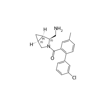 Cc1ccc(-c2cccc(Cl)c2)c(C(=O)N2C[C@H]3C[C@H]3[C@H]2CN)c1